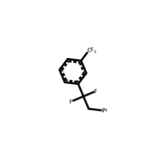 CC(C)CC(F)(F)c1cccc(C(F)(F)F)c1